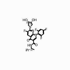 CC(C)[C@@H](C)NC(=O)c1cn(-c2c(F)cc(F)cc2F)c2nc(N3C[C@@H](O)[C@H](O)C3)c(F)cc2c1=O